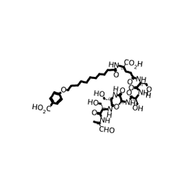 C[C@H](NC(=O)[C@H](CO)NC(=O)[C@H](CO)NC(=O)CC[C@H](NC(=O)CCCCCCCCCCOc1ccc(C(=O)O)cc1)C(=O)O)C(=O)N[C@@H](CO)C(=O)N[C@@H](CO)C(=O)N[C@@H](C)C=O